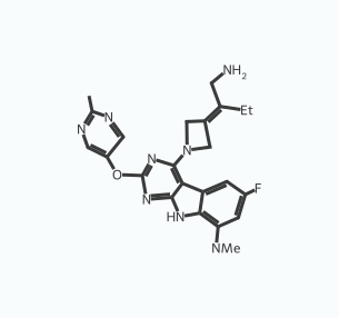 CCC(CN)=C1CN(c2nc(Oc3cnc(C)nc3)nc3[nH]c4c(NC)cc(F)cc4c23)C1